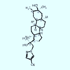 C[C@@H]1C[C@H]2[C@H](CC[C@@H]3[C@@H]2CC[C@@]2(C)[C@H]3CC[C@@H]2[C@](C)(O)Cn2cc(C#N)cn2)C[C@]1(C)O